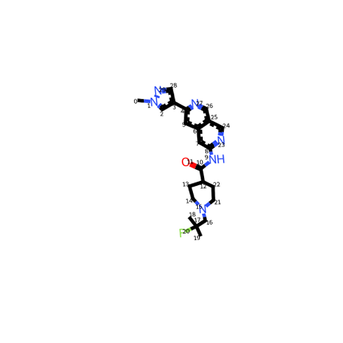 Cn1cc(-c2cc3cc(NC(=O)C4CCN(CC(C)(C)F)CC4)ncc3cn2)cn1